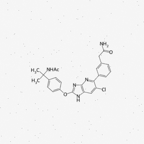 CC(=O)NC(C)(C)c1ccc(Oc2nc3nc(-c4cccc(CC(N)=O)c4)c(Cl)cc3[nH]2)cc1